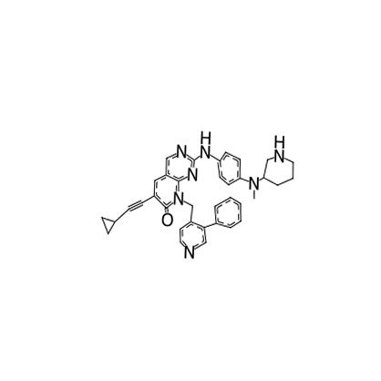 CN(c1ccc(Nc2ncc3cc(C#CC4CC4)c(=O)n(Cc4ccncc4-c4ccccc4)c3n2)cc1)C1CCCNC1